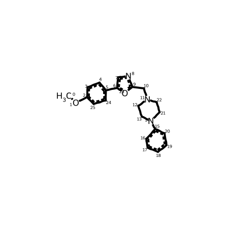 COc1ccc(-c2cnc(CN3CCN(c4ccccc4)CC3)o2)cc1